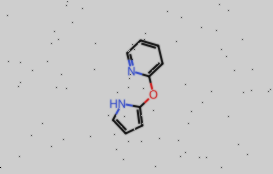 c1ccc(Oc2ccc[nH]2)nc1